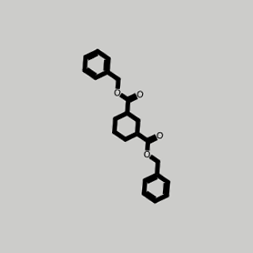 O=C(OCc1ccccc1)C1CCCC(C(=O)OCc2ccccc2)C1